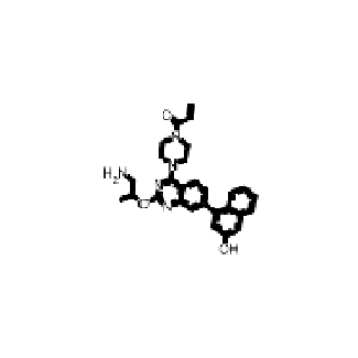 C=CC(=O)N1CCN(c2nc(OC(C)CN)nc3cc(-c4cc(O)cc5ccccc45)ccc23)CC1